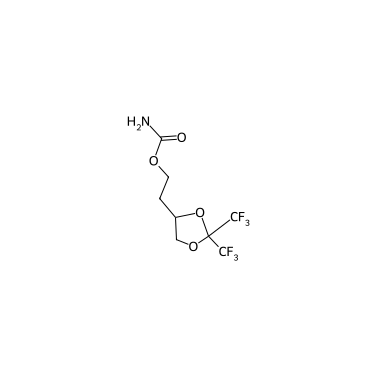 NC(=O)OCCC1COC(C(F)(F)F)(C(F)(F)F)O1